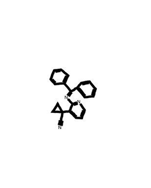 N#CC1(c2cccnc2N=C(c2ccccc2)c2ccccc2)CC1